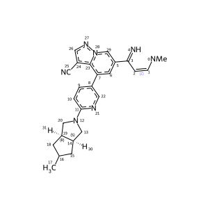 CN/C=C\C(=N)c1cc(-c2ccc(N3C[C@H]4CC(C)C[C@H]4C3)nc2)c2c(C#N)cnn2c1